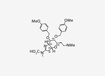 CNCC[C@H]1O[C@@H]2SC(N(C)C(=O)O)=N[C@@H]2[C@@H](OCc2ccc(OC)cc2)[C@@H]1OCc1ccc(OC)cc1